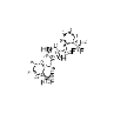 FC(F)(F)c1ccccc1C=C1CNCC(=Cc2ccccc2C(F)(F)F)N1